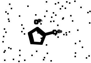 [Cr+2][C]1=CC=CC1.[O-2]